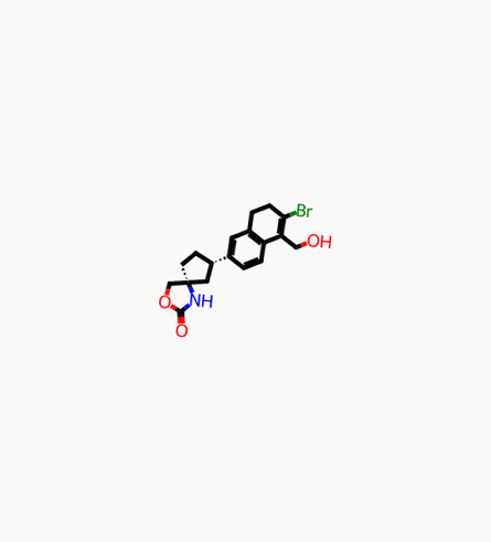 O=C1N[C@@]2(CC[C@H](c3ccc4c(c3)CCC(Br)=C4CO)C2)CO1